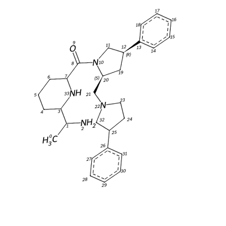 CC(N)C1CCCC(C(=O)N2C[C@@H](c3ccccc3)C[C@H]2CN2CCC(c3ccccc3)C2)N1